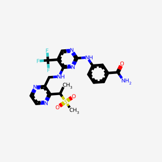 CC(c1nccnc1CNc1nc(Nc2cccc(C(N)=O)c2)ncc1C(F)(F)F)S(C)(=O)=O